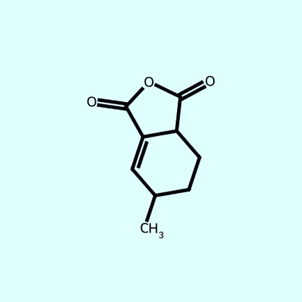 CC1C=C2C(=O)OC(=O)C2CC1